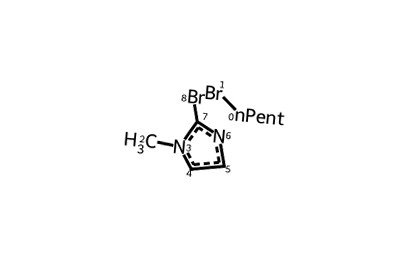 CCCCCBr.Cn1ccnc1Br